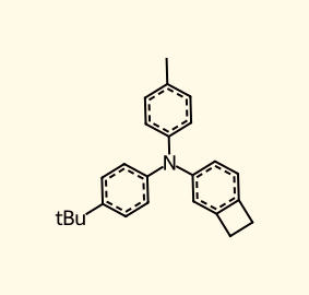 Cc1ccc(N(c2ccc(C(C)(C)C)cc2)c2ccc3c(c2)CC3)cc1